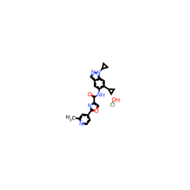 Cc1cc(-c2nc(C(=O)Nc3cc4cnn(C5CC5)c4cc3C3CC3)co2)ccn1.OCl